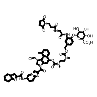 Cc1cccc2c(OC(=O)N(C)CCN(C)C(=O)OCc3ccc(O[C@@H]4O[C@H](C(=O)O)[C@@H](O)[C@H](O)[C@H]4O)c(NC(=O)CNC(=O)CCN4C(=O)C=CC4=O)c3)cc3c(c12)[C@H](CCl)CN3C(=O)c1cn2cc(NC(=O)c3cc4ccccc4o3)ccc2n1